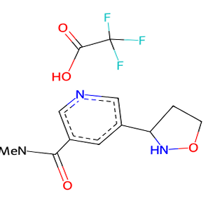 CNC(=O)c1cncc(C2CCON2)c1.O=C(O)C(F)(F)F